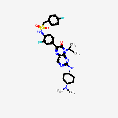 CC(C)n1c(=O)c(-c2ccc(NS(=O)(=O)Cc3ccc(F)cc3)c(F)c2)nc2cnc(N[C@H]3CC[C@H](N(C)C)CC3)nc21